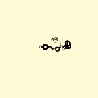 Cl.O.O=C(NC1CCN(CCc2ccc(F)cc2)C1)C12CC3CC(CC(C3)C1)C2